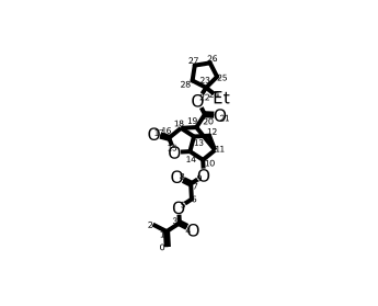 C=C(C)C(=O)OCC(=O)OC1C2CC3C1OC(=O)C3C2C(=O)OC1(CC)CCCC1